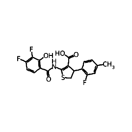 Cc1ccc(C2CSC(NC(=O)c3ccc(F)c(F)c3O)=C2C(=O)O)c(F)c1